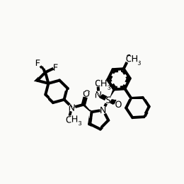 CN=[S@@](=O)(c1ccc(C)cc1C1CCCCC1)N1CCC[C@H]1C(=O)N(C)C1CCC2(CC1)CC2(F)F